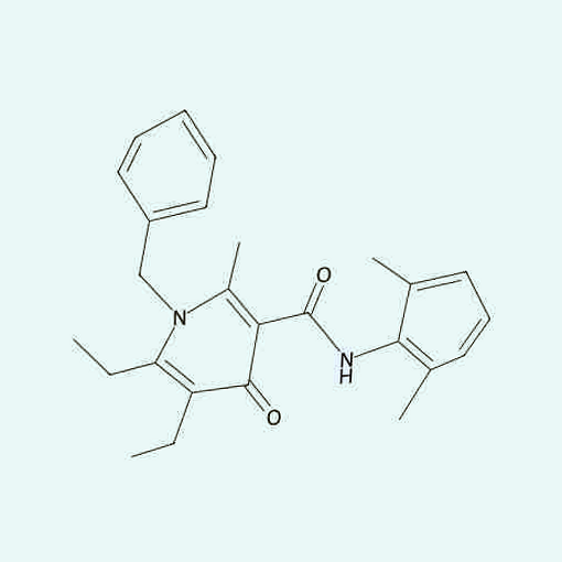 CCc1c(CC)n(Cc2ccccc2)c(C)c(C(=O)Nc2c(C)cccc2C)c1=O